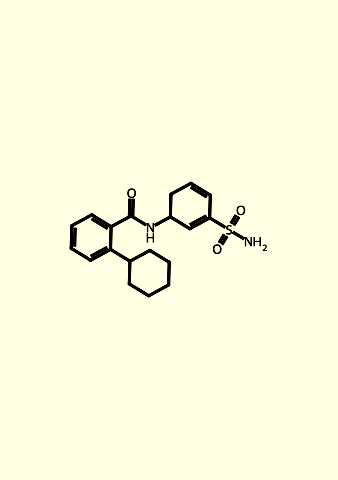 NS(=O)(=O)C1=CC(NC(=O)c2ccccc2C2CCCCC2)CC=C1